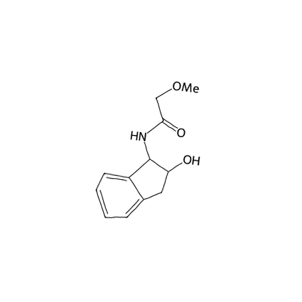 COCC(=O)NC1c2ccccc2CC1O